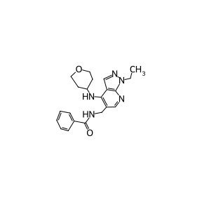 CCn1ncc2c(NC3CCOCC3)c(CNC(=O)c3ccccc3)cnc21